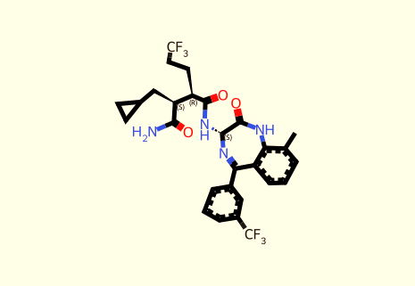 Cc1cccc2c1NC(=O)[C@@H](NC(=O)[C@H](CCC(F)(F)F)[C@H](CC1CC1)C(N)=O)N=C2c1cccc(C(F)(F)F)c1